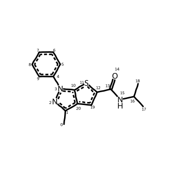 Cc1nn(-c2ccccc2)c2sc(C(=O)NC(C)C)cc12